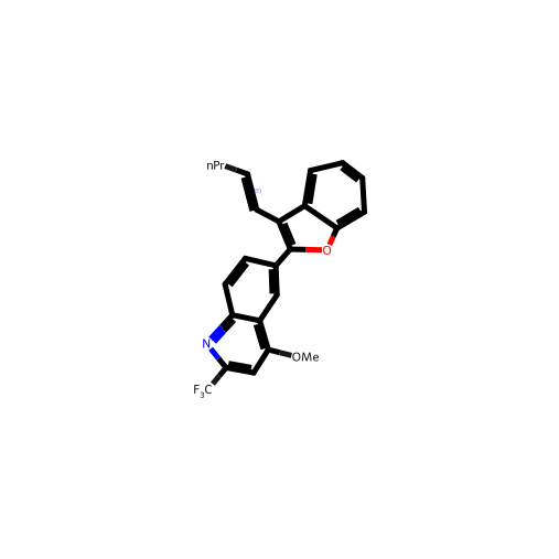 CCC/C=C/c1c(-c2ccc3nc(C(F)(F)F)cc(OC)c3c2)oc2ccccc12